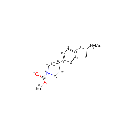 CC(=O)NC(C)Cc1ccc(C2CCN(C(=O)OC(C)(C)C)CC2)cc1